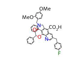 COc1ccc(CN2Cc3c(c(OC(c4ccccc4)c4ccccc4)c4ncc(Cc5ccc(F)cc5)cc4c3C(=O)O)C2=O)c(OC)c1